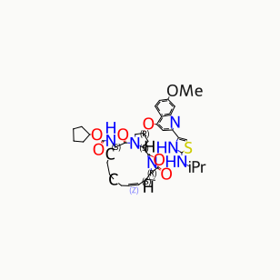 COc1ccc2c(O[C@@H]3C[C@H]4C5=N[C@@]6(C[C@H]6/C=C\CCCCC[C@H](NC(=O)OC6CCCC6)C(=O)N4C3)C(=O)O5)cc(C3=CSC(NC(C)C)N3)nc2c1